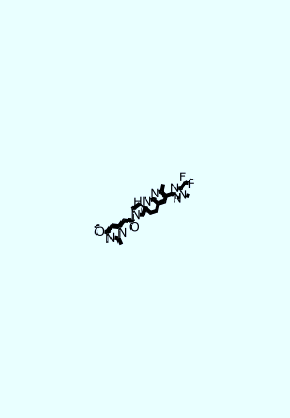 COc1cc(CC(=O)N2CC[C@@]3(CCc4cc(-c5nc(C(F)F)n(C)n5)c(C)nc4N3)C2)nc(C)n1